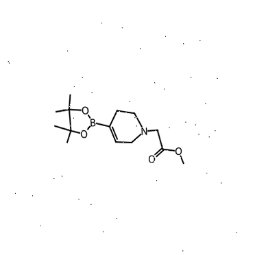 COC(=O)CN1CC=C(B2OC(C)(C)C(C)(C)O2)CC1